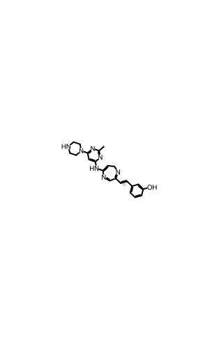 Cc1nc(NC2=CCN=C(/C=C/c3cccc(O)c3)C=N2)cc(N2CCNCC2)n1